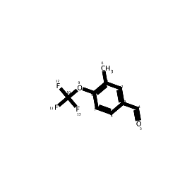 Cc1cc(C=O)ccc1OC(F)(F)F